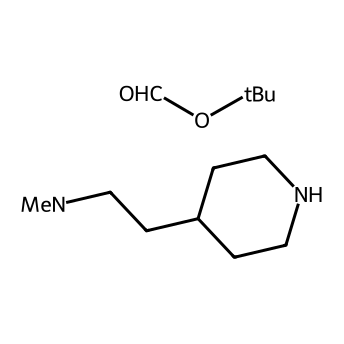 CC(C)(C)OC=O.CNCCC1CCNCC1